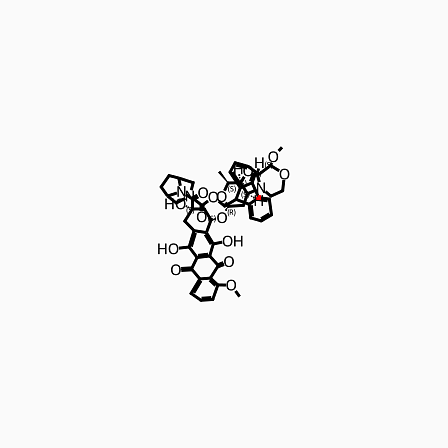 COc1cccc2c1C(=O)c1c(O)c3c(c(O)c1C2=O)C[C@@](O)(C(=O)N1C2CCC1CN(C(=O)OCC1c4ccccc4-c4ccccc41)C2)C[C@@H]3O[C@H]1C[C@H]2[C@H](O[C@@H]3[C@@H](OC)OCCN32)[C@H](C)O1